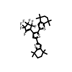 CC1(C)CCC(C)(C)c2sc(-c3cc(C4=C(F)C(F)(F)C(F)(F)C4(F)F)c(-c4cc5c(s4)C(C)(C)CCC5(C)C)s3)cc21